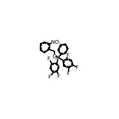 O=[N+]([O-])c1ccccc1CO[Si](c1ccccc1)(c1cc(F)c(F)cc1F)c1cc(F)c(F)cc1F